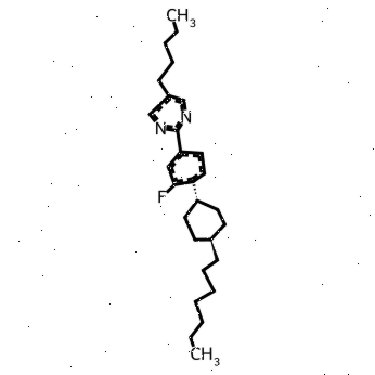 CCCCCCC[C@H]1CC[C@H](c2ccc(-c3ncc(CCCCC)cn3)cc2F)CC1